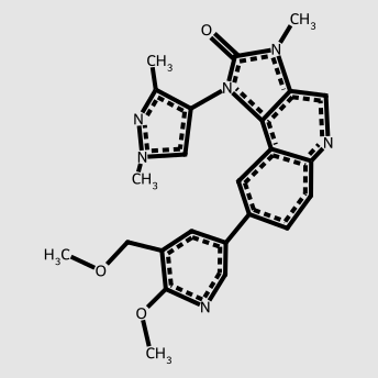 COCc1cc(-c2ccc3ncc4c(c3c2)n(-c2cn(C)nc2C)c(=O)n4C)cnc1OC